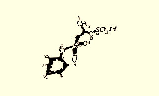 CC(CS(=O)(=O)Oc1ccccc1)OS(=O)(=O)O